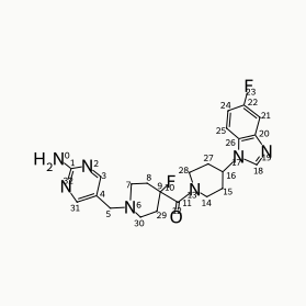 Nc1ncc(CN2CCC(F)(C(=O)N3CCC(n4cnc5cc(F)ccc54)CC3)CC2)cn1